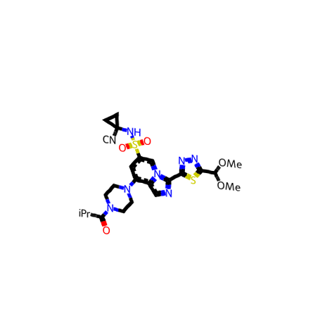 COC(OC)c1nnc(-c2ncc3c(N4CCN(C(=O)C(C)C)CC4)cc(S(=O)(=O)NC4(C#N)CC4)cn23)s1